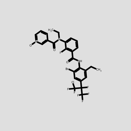 CCc1cc(C(F)(C(F)(F)F)C(F)(F)Cl)cc(Br)c1NC(=O)c1cccc(N(CC)C(=O)c2ccc[n+]([O-])c2)c1F